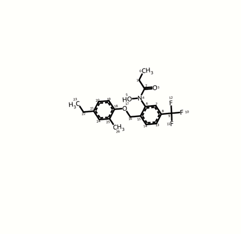 CCC(=O)N(O)c1cc(C(F)(F)F)ccc1COc1ccc(CC)cc1C